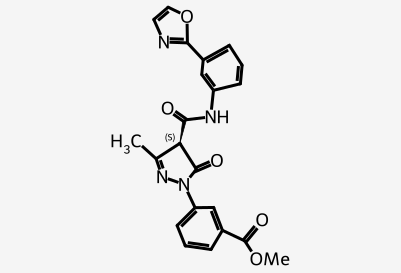 COC(=O)c1cccc(N2N=C(C)[C@@H](C(=O)Nc3cccc(-c4ncco4)c3)C2=O)c1